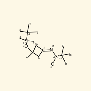 CC1(O[Si](C)(C)C(C)(C)C)CC(=N[S+]([O-])C(C)(C)C)C1